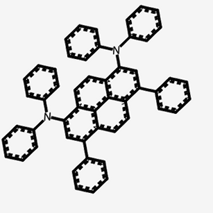 c1ccc(-c2cc(N(c3ccccc3)c3ccccc3)c3ccc4c(N(c5ccccc5)c5ccccc5)cc(-c5ccccc5)c5ccc2c3c54)cc1